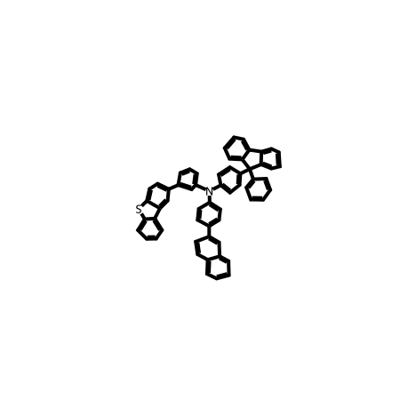 c1ccc(C2(c3ccc(N(c4ccc(-c5ccc6ccccc6c5)cc4)c4cccc(-c5ccc6sc7ccccc7c6c5)c4)cc3)c3ccccc3-c3ccccc32)cc1